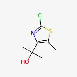 Cc1sc(Cl)nc1C(C)(C)O